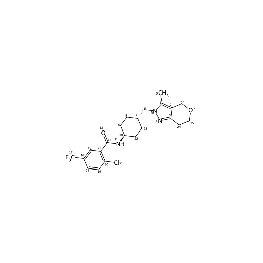 Cc1c2c(nn1C[C@H]1CC[C@H](NC(=O)c3cc(C(F)(F)F)ccc3Cl)CC1)CCOC2